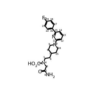 NC(=O)CN(CCC1CCN(c2cccc(-c3ccc(F)cc3)n2)CC1)C(=O)O